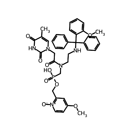 COc1cc[n+]([O-])c(COP(=O)(O)CN(CCNC(c2ccccc2)(c2ccccc2)c2ccccc2OC)C(=O)Cn2cc(C)c(=O)[nH]c2=O)c1